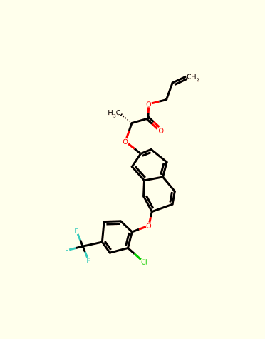 C=CCOC(=O)[C@@H](C)Oc1ccc2ccc(Oc3ccc(C(F)(F)F)cc3Cl)cc2c1